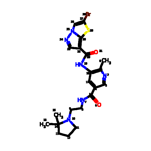 Cc1ncc(C(=O)NCCN2CCCC2(C)C)cc1NC(=O)c1cnn2cc(Br)sc12